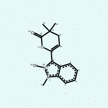 Cn1c2ccccc2c(C2=CCC(C)(C)C(=O)O2)[n+]1[O-]